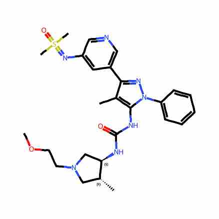 COCCN1C[C@@H](C)[C@H](NC(=O)Nc2c(C)c(-c3cncc(N=S(C)(C)=O)c3)nn2-c2ccccc2)C1